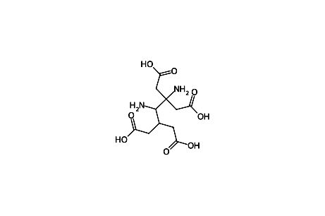 NC(C(CC(=O)O)CC(=O)O)C(N)(CC(=O)O)CC(=O)O